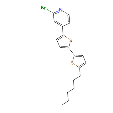 CCCCCCc1ccc(-c2ccc(-c3ccnc(Br)c3)s2)s1